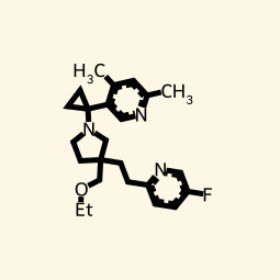 CCOCC1(CCc2ccc(F)cn2)CCN(C2(c3cnc(C)cc3C)CC2)C1